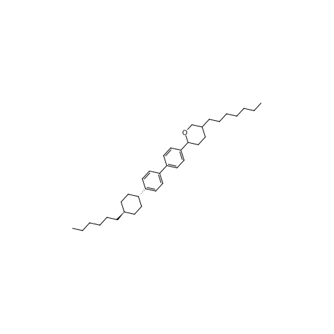 CCCCCCCC1CCC(c2ccc(-c3ccc([C@H]4CC[C@H](CCCCCC)CC4)cc3)cc2)OC1